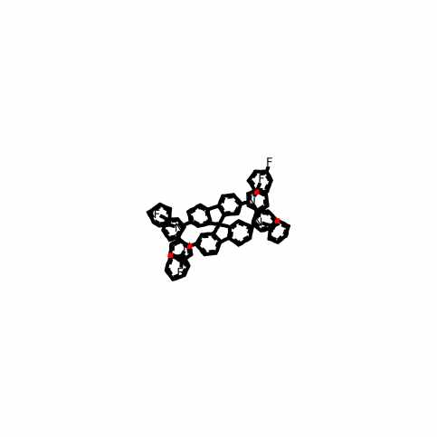 Fc1ccc(N(c2ccccc2)c2ccc3c(c2)C2(c4cc(N(c5ccccc5)c5ccc(F)cc5)ccc4-3)c3cc(N(c4ccccc4)c4ccc(F)cc4)ccc3-c3ccc(N(c4ccccc4)c4ccc(F)cc4)cc32)cc1